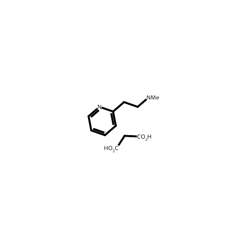 CNCCc1ccccn1.O=C(O)CC(=O)O